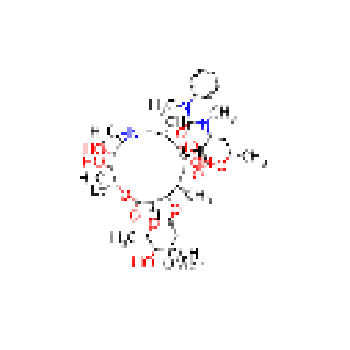 CC[C@H]1OC(=O)[C@H](C)[C@@H](O[C@H]2C[C@@](C)(OC)[C@@H](O)[C@H](C)O2)[C@H](C)[C@@H](O[C@@H]2O[C@H](C)C[C@H](N(C)C(=O)N(C)c3ccccc3)[C@H]2O)[C@](C)(O)C[C@@H](C)CN[C@H](C)[C@@H](O)[C@]1(C)O